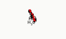 CCc1nnc(NC(=O)/C(C#N)=C/c2ccc(OCc3ccccc3)cc2)s1